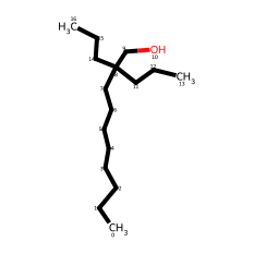 CCCCCCCCC(CO)(CCC)CCC